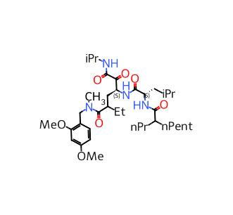 CCCCCC(CCC)C(=O)N[C@@H](CC(C)C)C(=O)N[C@@H](CC(CC)C(=O)N(C)Cc1ccc(OC)cc1OC)C(=O)C(=O)NC(C)C